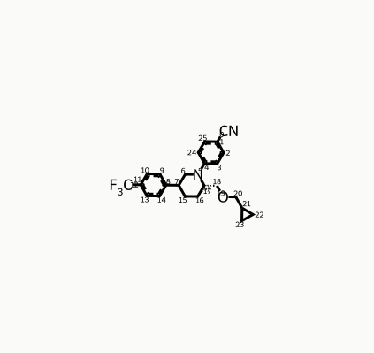 N#Cc1ccc(N2CC(c3ccc(C(F)(F)F)cc3)CC[C@H]2COCC2CC2)cc1